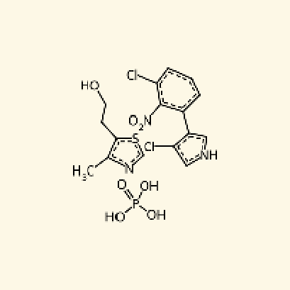 Cc1ncsc1CCO.O=P(O)(O)O.O=[N+]([O-])c1c(Cl)cccc1-c1c[nH]cc1Cl